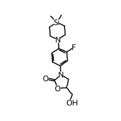 C[Si]1(C)CCN(c2ccc(N3CC(CO)OC3=O)cc2F)CC1